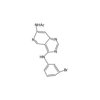 CC(=O)Nc1cc2ncnc(Nc3cccc(Br)c3)c2cn1